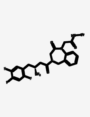 CC(C)NC(=O)CN1C(=O)CN(C(=O)C[C@H](N)Cc2cc(F)c(F)cc2F)Cc2ccccc21